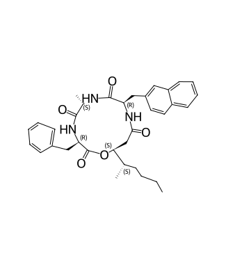 CCCC[C@H](C)[C@@H]1CC(=O)N[C@H](Cc2ccc3ccccc3c2)C(=O)N[C@@H](C)C(=O)N[C@H](Cc2ccccc2)C(=O)O1